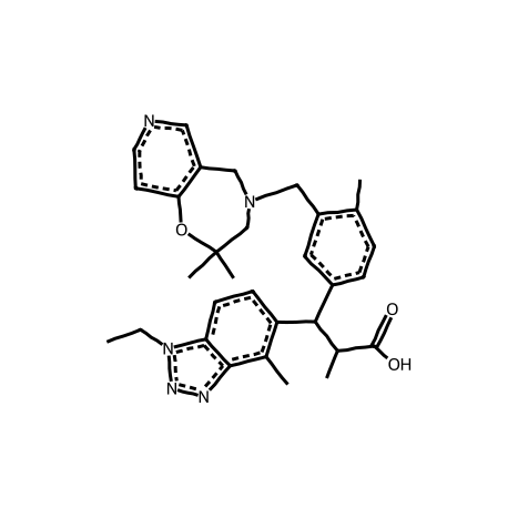 CCn1nnc2c(C)c(C(c3ccc(C)c(CN4Cc5cnccc5OC(C)(C)C4)c3)C(C)C(=O)O)ccc21